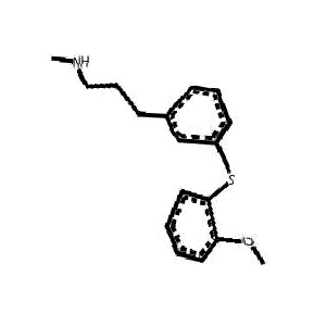 CNCCCc1cccc(Sc2ccccc2OC)c1